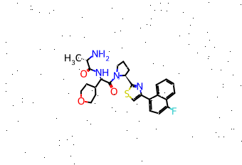 C[C@H](N)C(=O)N[C@H](C(=O)N1CCC[C@H]1c1nc(-c2ccc(F)c3ccccc23)cs1)C1CCOCC1